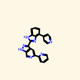 c1ccc(-c2cc3c(-c4nc5c(-c6ccncc6)cccc5[nH]4)n[nH]c3cn2)nc1